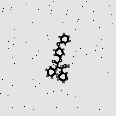 O=C(Oc1ccc(Oc2ccccc2)cc1)C(c1ccccc1)C(O)c1cccnc1